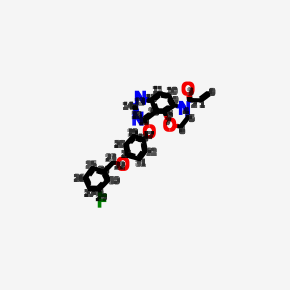 C=CC(=O)N1CCOc2c1ccc1ncnc(Oc3ccc(OCc4cccc(F)c4)cc3)c21